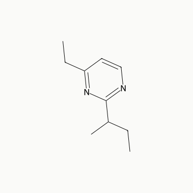 CCc1ccnc(C(C)CC)n1